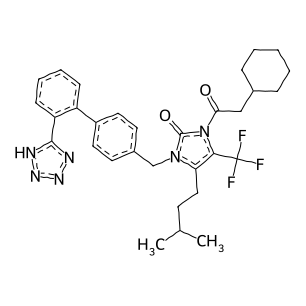 CC(C)CCc1c(C(F)(F)F)n(C(=O)CC2CCCCC2)c(=O)n1Cc1ccc(-c2ccccc2-c2nnn[nH]2)cc1